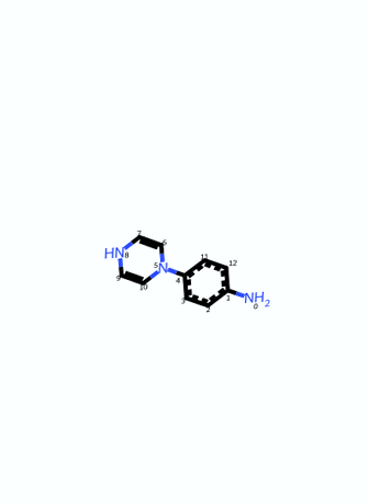 Nc1ccc(N2C=[C]NC=C2)cc1